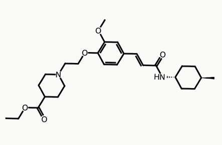 CCOC(=O)C1CCN(CCOc2ccc(C=CC(=O)N[C@H]3CC[C@H](C)CC3)cc2OC)CC1